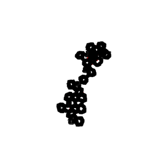 c1ccc(-n2c3ccccc3c3cccc(-c4cccc(N(c5ccccc5-c5ccc6c(c5)oc5c(-c7ccc(-n8c9ccccc9c9c(-c%10cccc(N(c%11ccccc%11-c%11ccc%12c(c%11)oc%11ccccc%11%12)c%11ccccc%11-c%11cccc%12cccc(C%13CCCCC%13)c%11%12)c%10)cccc98)cc7)cccc56)c5ccccc5-c5cccc6cccc(C7CCCCC7)c56)c4)c32)cc1